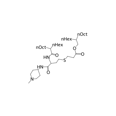 CCCCCCCCC(CCCCCC)COC(=O)CCSCCC(NC(=O)C(CCCCCC)CCCCCCCC)C(=O)NC1CCN(C)CC1